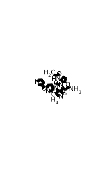 C=CC(=O)N[C@H]1CCC[C@H]1N1C(=O)N(c2ccc(Oc3cccnc3)nc2C)c2ccnc3sc(C(N)=O)c1c23